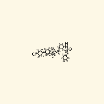 O=C(Nc1cccc(C2CC2(NS(=O)(=O)c2ccc(-c3ccc(Cl)cc3)cc2)C(=O)O)c1)OCc1ccccc1